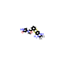 CCC(Nc1ccc2c(c1)Sc1cccc(C3CN(c4cc[nH]c(=O)c4)CCO3)c1S2)[C@@H](N)CC